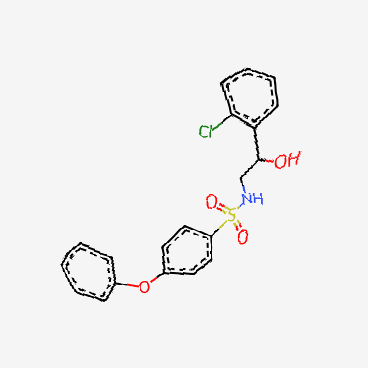 O=S(=O)(NCC(O)c1ccccc1Cl)c1ccc(Oc2ccccc2)cc1